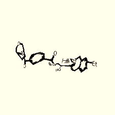 CCc1ccc2c(c1)CN[C@H]([C@H](O)CNC(=O)c1ccc(C(=O)N3C4CCC3COC4)cc1)C2